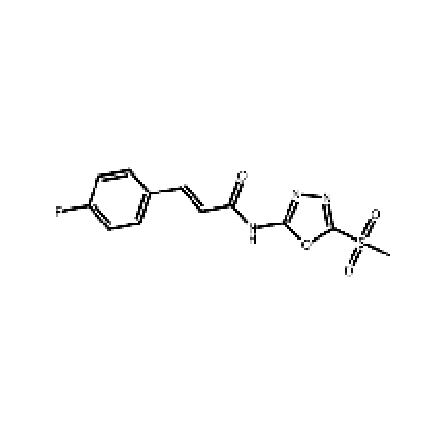 CS(=O)(=O)c1nnc(NC(=O)/C=C/c2ccc(F)cc2)o1